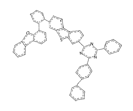 c1ccc(-c2ccc(-c3nc(-c4ccccc4)nc(-c4ccc5c(c4)sc4cc(-c6ccccc6-c6cccc7c6oc6ccccc67)ccc45)n3)cc2)cc1